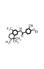 CCOc1ccc(C(=O)Nc2cc(C(F)(F)F)c3c(c2)C(C)(C)N(C)CC3)cc1C#N